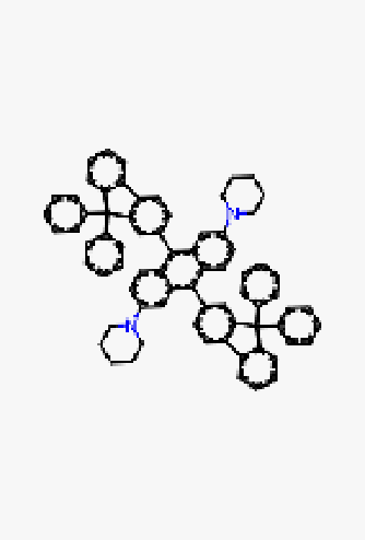 c1ccc(C2(c3ccccc3)c3ccccc3-c3ccc(-c4c5ccc(N6CCCCC6)cc5c(-c5ccc6c(c5)C(c5ccccc5)(c5ccccc5)c5ccccc5-6)c5ccc(N6CCCCC6)cc45)cc32)cc1